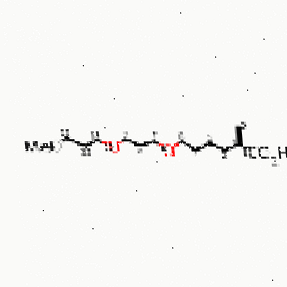 C=C(CCCCOCCCOCCCOC)C(=O)O